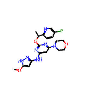 COc1cc(Nc2cc(N3CCOCC3)nc(OC(C)c3ccc(F)cn3)n2)n[nH]1